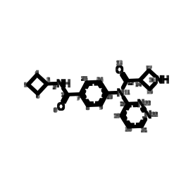 O=C(NC1CCC1)c1ccc(N(C(=O)C2CNC2)c2cccnn2)cc1